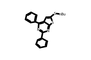 CCCCSc1cc2c(-c3ccccc3)nc(-c3ccccc3)nc2s1